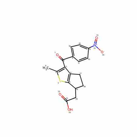 Cc1sc2c(c1C(=O)c1ccc([N+](=O)[O-])cc1)CCC2CC(=O)O